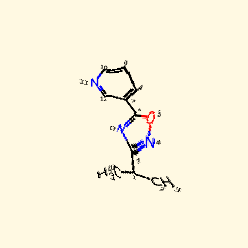 CC(C)c1noc(-c2cccnc2)n1